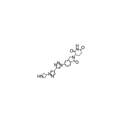 O=C1CCC(N2Cc3cc(-n4cc(-c5cnn(C6CNC6)c5)nn4)ccc3C2=O)C(=O)N1